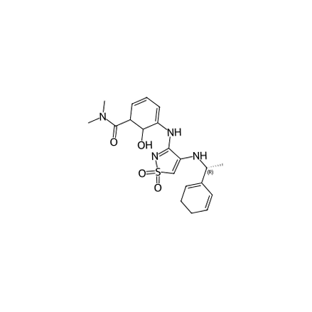 C[C@@H](NC1=CS(=O)(=O)N=C1NC1=CC=CC(C(=O)N(C)C)C1O)C1=CCCC=C1